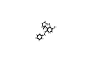 Fc1cnc(OCc2ccccc2)c(C23CC2CCN3)c1